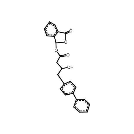 O=C(CC(O)Cc1ccc(-c2ccccc2)cc1)OC1OC(=O)c2ccccc21